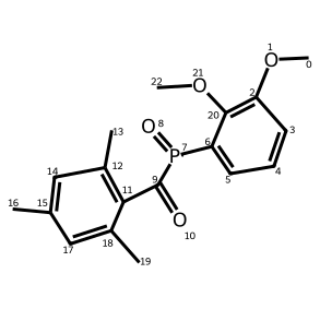 COc1cccc([P](=O)C(=O)c2c(C)cc(C)cc2C)c1OC